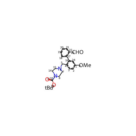 COc1ccc(CN2CCN(C(=O)OC(C)(C)C)CC2)c(-c2ccccc2C=O)c1